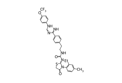 CCc1cc(C)ccc1N1C(=O)CS/C1=N\C(=O)NCCc1ccc(C(=N)/N=C\Nc2ccc(OC(F)(F)F)cc2)cc1